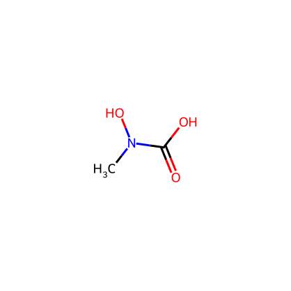 CN(O)C(=O)O